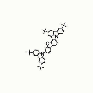 CC(C)(C)c1ccc2c(c1)c1cc(C(C)(C)C)ccc1n2-c1ccc2c(c1)oc1c2ccc2c1c1cc(C(C)(C)C)cc3c4cc(C(C)(C)C)ccc4n2c31